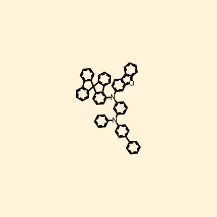 c1ccc(-c2ccc(N(c3ccccc3)c3cccc(N(c4ccc5c(c4)oc4ccccc45)c4cccc5c4-c4ccccc4C54c5ccccc5-c5ccccc54)c3)cc2)cc1